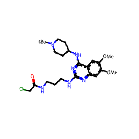 COc1cc2nc(NCCCNC(=O)CCl)nc(NC3CCN(C(C)(C)C)CC3)c2cc1OC